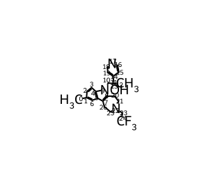 Cc1ccc2c(c1)c1c(n2CC(C)(O)c2ccncc2)CCN(CC(F)(F)F)CC1